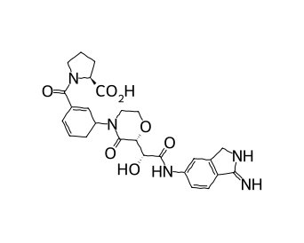 N=C1NCc2cc(NC(=O)[C@H](O)[C@H]3OCCN(C4C=C(C(=O)N5CCC[C@H]5C(=O)O)C=CC4)C3=O)ccc21